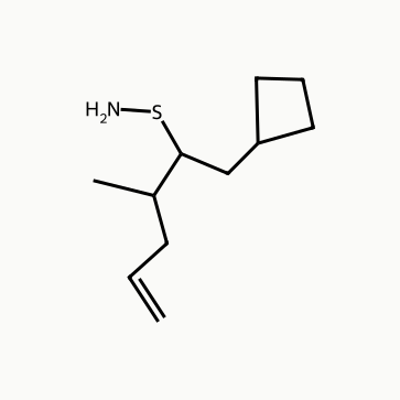 C=CCC(C)C(CC1CCC1)SN